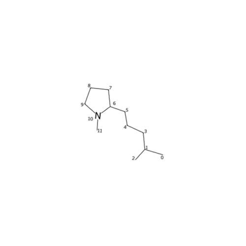 CC(C)CCCC1CCCN1C